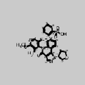 COc1ncc(C)c(-n2c(=O)c3cnn([C@H]4CCOC4)c3c3ccccc32)c1C.O=S(=O)(O)c1ccccc1